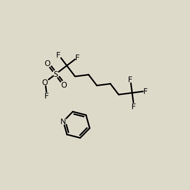 O=S(=O)(OF)C(F)(F)CCCCCC(F)(F)F.c1ccncc1